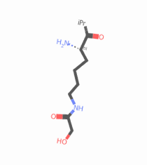 CC(C)C(=O)[C@@H](N)CCCCNC(=O)CO